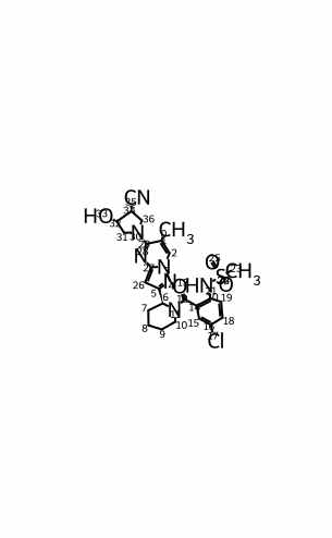 Cc1cn2nc([C@@H]3CCCCN3C(=O)c3cc(Cl)ccc3NS(C)(=O)=O)cc2nc1N1C[C@@H](O)[C@@H](C#N)C1